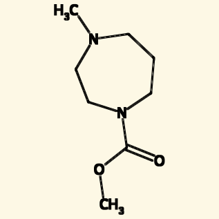 COC(=O)N1CCCN(C)CC1